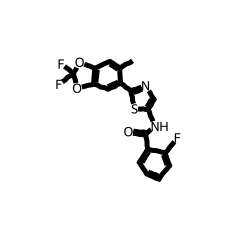 Cc1cc2c(cc1-c1ncc(NC(=O)c3ccccc3F)s1)OC(F)(F)O2